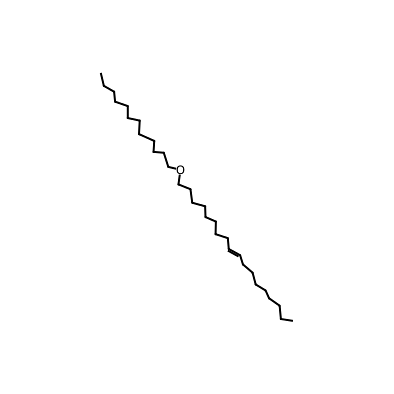 CCCCCCCCC=CCCCCCCCCOCCCCCCCCCCCC